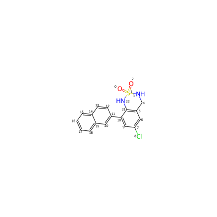 O=S1(=O)NCc2cc(Cl)cc(-c3ccc4ccccc4c3)c2N1